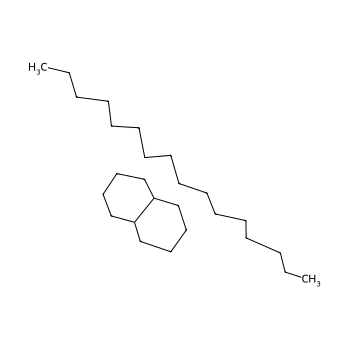 C1CCC2CCCCC2C1.CCCCCCCCCCCCCCCC